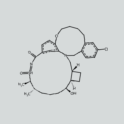 C[C@@H]1[C@@H](C)CCC[C@H](O)[C@@H]2CC[C@H]2CN2Cc3ccc(Cl)cc3CCCCOc3ccc(cc32)C(=O)/N=[SH]\1=O